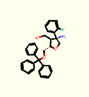 N[C@@]1(c2ccccc2F)CO[C@H](COC(c2ccccc2)(c2ccccc2)c2ccccc2)C1CO